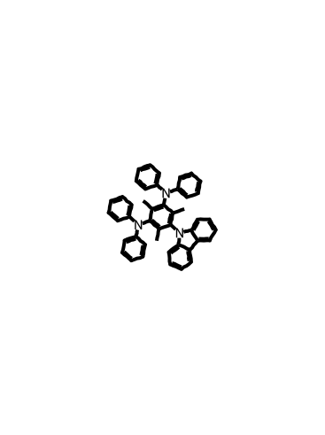 Cc1c(N(c2ccccc2)c2ccccc2)c(C)c(-n2c3ccccc3c3ccccc32)c(C)c1N(c1ccccc1)c1ccccc1